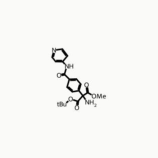 COC(=O)C(N)(C(=O)OC(C)(C)C)c1ccc(C(=O)Nc2ccncc2)cc1